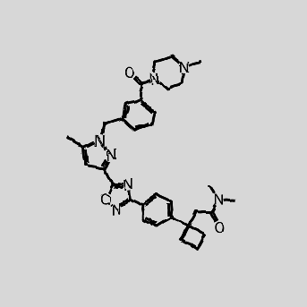 Cc1cc(-c2nc(-c3ccc(C4(CC(=O)N(C)C)CCC4)cc3)no2)nn1Cc1cccc(C(=O)N2CCN(C)CC2)c1